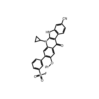 CC(C)Oc1cc2c(=O)c3c4ccc(C#N)cc4[nH]c3n(C3CC3)c2cc1-c1cccc(S(=O)(=O)F)c1